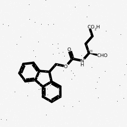 O=C[C@H](CCC(=O)O)NC(=O)OCC1c2ccccc2-c2ccccc21